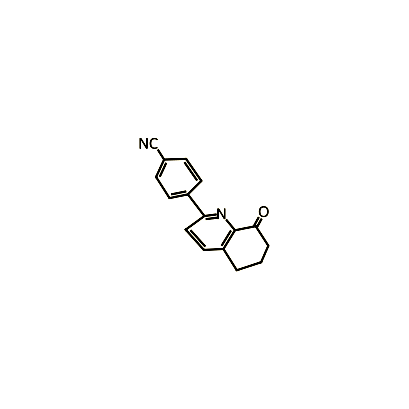 N#Cc1ccc(-c2ccc3c(n2)C(=O)CCC3)cc1